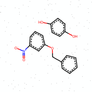 O=[N+]([O-])c1cccc(OCc2ccccc2)c1.Oc1ccc(O)cc1